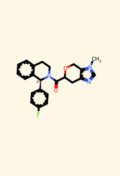 Cn1cnc2c1COC(C(=O)N1CCc3ccccc3[C@@H]1c1ccc(F)cc1)C2